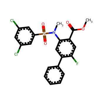 COC(=O)c1cc(F)c(-c2ccccc2)cc1N(C)S(=O)(=O)c1cc(Cl)cc(Cl)c1